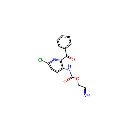 N=CCOC(=O)Nc1ccc(Cl)nc1C(=O)c1ccccc1